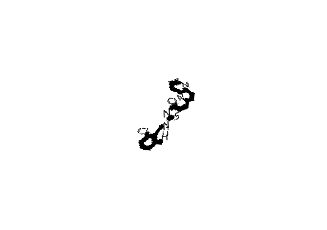 Cc1cccc(Cl)c1CNC1=NC(=O)C(=Cc2ccc3ncccc3n2)S1